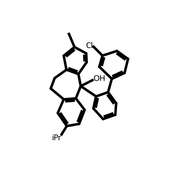 Cc1ccc2c(c1)CCc1cc(C(C)C)ccc1C2(O)c1ccccc1-c1cccc(Cl)c1